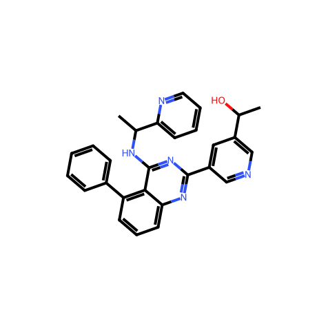 CC(O)c1cncc(-c2nc(NC(C)c3ccccn3)c3c(-c4ccccc4)cccc3n2)c1